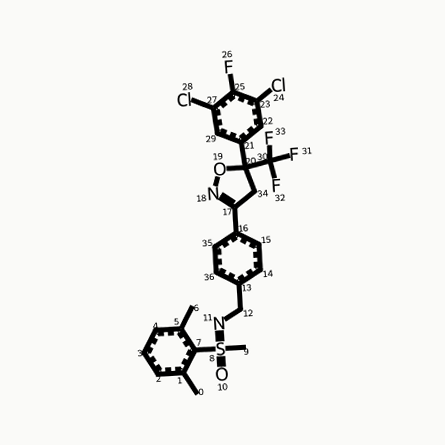 Cc1cccc(C)c1S(C)(=O)=NCc1ccc(C2=NOC(c3cc(Cl)c(F)c(Cl)c3)(C(F)(F)F)C2)cc1